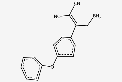 BCC(=C(C#N)C#N)c1ccc(Oc2ccccc2)cc1